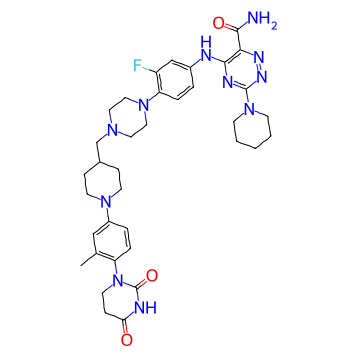 Cc1cc(N2CCC(CN3CCN(c4ccc(Nc5nc(N6CCCCC6)nnc5C(N)=O)cc4F)CC3)CC2)ccc1N1CCC(=O)NC1=O